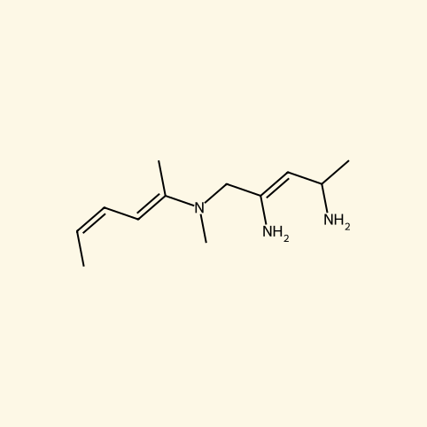 C/C=C\C=C(/C)N(C)C/C(N)=C/C(C)N